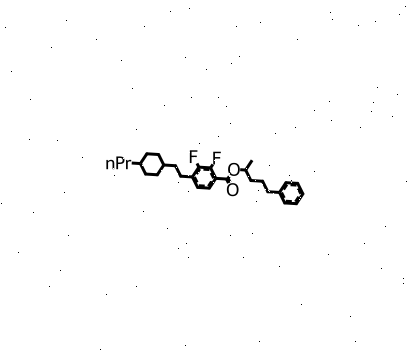 CCCC1CCC(CCc2ccc(C(=O)OC(C)CCCc3ccccc3)c(F)c2F)CC1